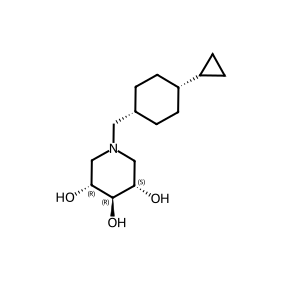 O[C@H]1[C@H](O)CN(C[C@H]2CC[C@@H](C3CC3)CC2)C[C@@H]1O